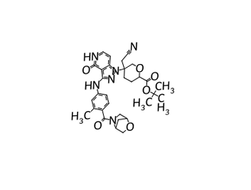 Cc1cc(Nc2nn(C3(CC#N)CCC(C(=O)OC(C)(C)C)OC3)c3cc[nH]c(=O)c23)ccc1C(=O)N1CC2CC1CO2